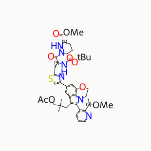 COC(=O)[C@@H]1CCCN(C(=O)[C@H](Cc2nc(-c3cc4c5c(c3)c(CC(C)(C)COC(C)=O)c(-c3cccnc3[C@H](C)OC)n5CCO4)cs2)NC(=O)OC(C)(C)C)N1